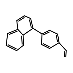 C=Cc1ccc(-c2cccc3ccccc23)cc1